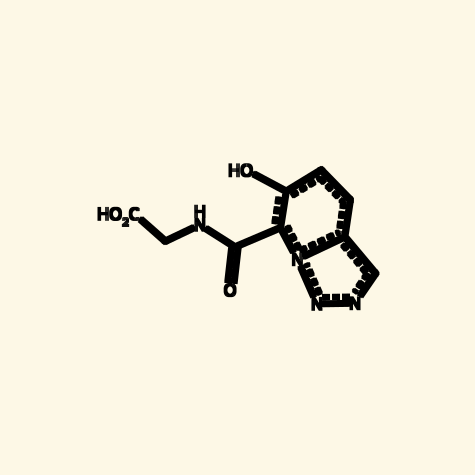 O=C(O)CNC(=O)c1c(O)ccc2cnnn12